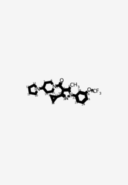 Cc1c(C(=O)N2CCC(N3CCCC3)CC2)c(C2CC2)nn1-c1cccc(OC(F)(F)F)c1